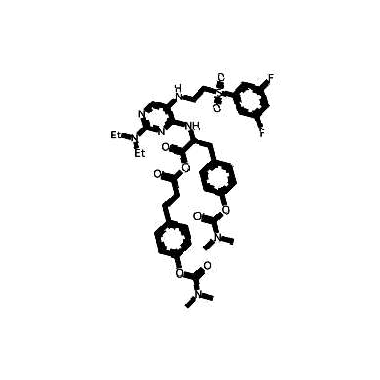 CCN(CC)c1ncc(NCCS(=O)(=O)c2cc(F)cc(F)c2)c(NC(Cc2ccc(OC(=O)N(C)C)cc2)C(=O)OC(=O)CCc2ccc(OC(=O)N(C)C)cc2)n1